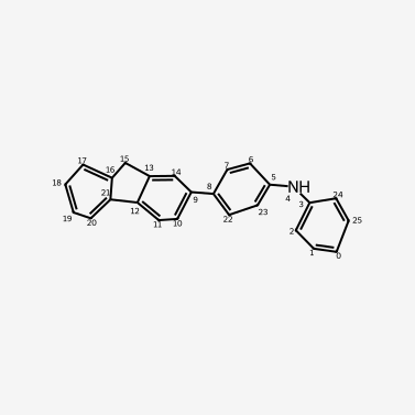 c1ccc(Nc2ccc(-c3ccc4c(c3)Cc3ccccc3-4)cc2)cc1